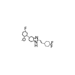 COc1ccc(F)cc1-c1ccc2[nH]c(C=CC3CCC(F)(F)CC3)nc2c1